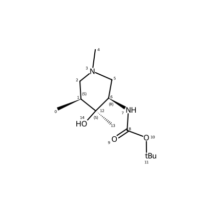 C[C@H]1CN(C)C[C@@H](NC(=O)OC(C)(C)C)[C@@]1(C)O